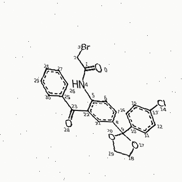 O=C(CBr)Nc1ccc(C2(c3ccc(Cl)cc3)OCCO2)cc1C(=O)c1ccccc1